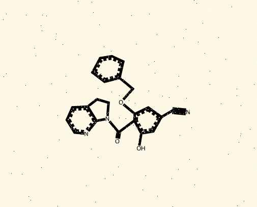 N#Cc1cc(O)c(C(=O)N2CCc3cccnc32)c(OCc2ccccc2)c1